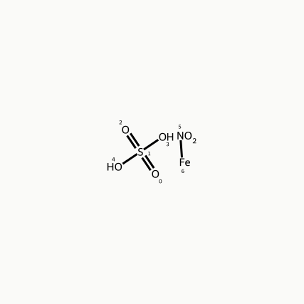 O=S(=O)(O)O.O=[N+]([O-])[Fe]